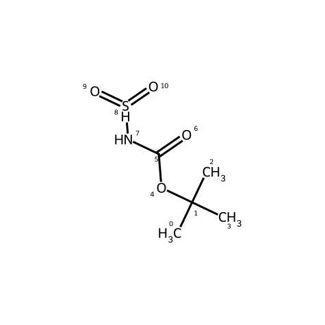 CC(C)(C)OC(=O)N[SH](=O)=O